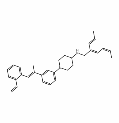 C=Cc1ccccc1/C=C(\C)c1cccc(N2CCC(NCC(/C=C/C)=C/C=C\C)CC2)c1